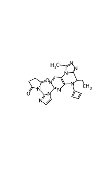 CCC1c2nnc(C)n2-c2cnc(-n3ccnc3N3C(=O)CCC3=O)nc2N1C1=CC=C1